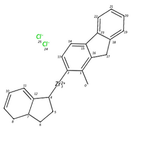 Cc1[c]([Zr+2][CH]2CCC3CC=CC=C32)ccc2c1Cc1ccccc1-2.[Cl-].[Cl-]